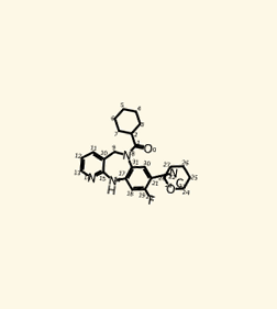 O=C(C1CCCCC1)N1Cc2cccnc2Nc2cc(F)c(N3CC4CCC3CO4)cc21